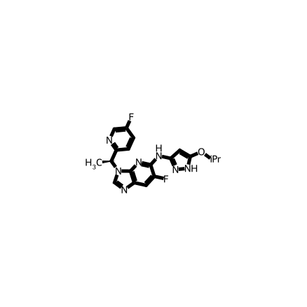 CC(C)Oc1cc(Nc2nc3c(cc2F)ncn3[C@@H](C)c2ccc(F)cn2)n[nH]1